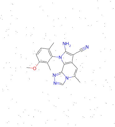 COc1ccc(C)c(-n2c(N)c(C#N)c3cc(C)n4cnnc4c32)c1C